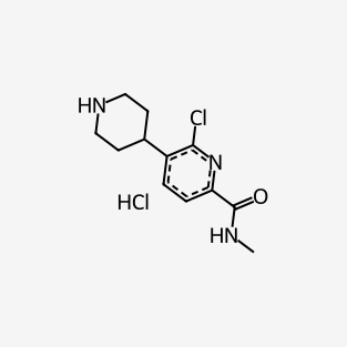 CNC(=O)c1ccc(C2CCNCC2)c(Cl)n1.Cl